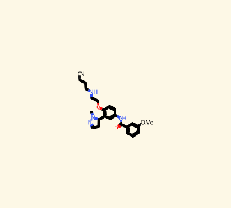 COc1cccc(C(=O)Nc2ccc(OCCNCCCC#N)c(-c3ccnn3C)c2)c1